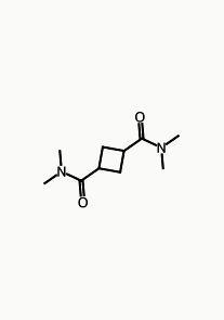 CN(C)C(=O)C1CC(C(=O)N(C)C)C1